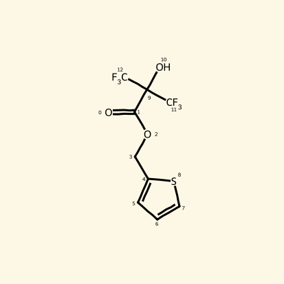 O=C(OCc1cccs1)C(O)(C(F)(F)F)C(F)(F)F